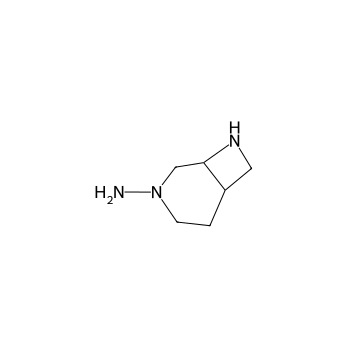 NN1CCC2CNC2C1